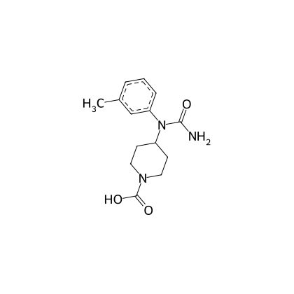 Cc1cccc(N(C(N)=O)C2CCN(C(=O)O)CC2)c1